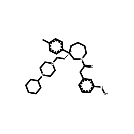 Cc1ccc([C@@]2(CCN3CCN(C4CCCCC4)CC3)CCCCN(C(=O)Cc3cccc(OC(C)C)c3)C2)cc1